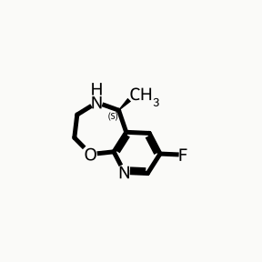 C[C@@H]1NCCOc2ncc(F)cc21